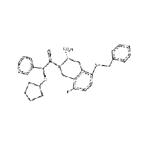 O=C(O)[C@@H]1Cc2c(OCc3ccccc3)ccc(F)c2CN1C(=O)[C@@H](OC1CCCC1)c1ccccc1